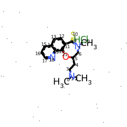 CN(C)CCC1CN(C)C(=S)c2ccc3cccnc3c2O1.Cl